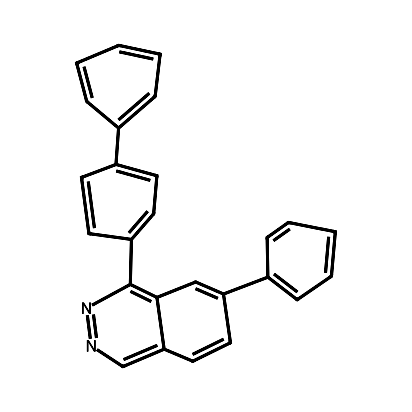 c1ccc(-c2ccc(-c3nncc4ccc(-c5ccccc5)cc34)cc2)cc1